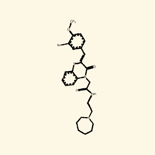 COc1ccc(C=C2Sc3ccccc3N(CC(=O)NCCN3CCCCCC3)C2=O)cc1Br